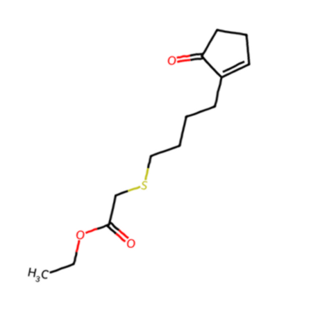 CCOC(=O)CSCCCCC1=CCCC1=O